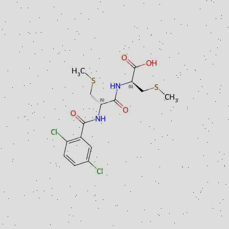 CSC[C@@H](NC(=O)[C@@H](CSC)NC(=O)c1cc(Cl)ccc1Cl)C(=O)O